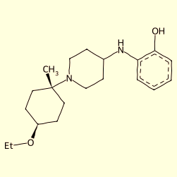 CCO[C@H]1CC[C@](C)(N2CCC(Nc3ccccc3O)CC2)CC1